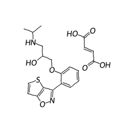 CC(C)NCC(O)COc1ccccc1-c1noc2ccsc12.O=C(O)C=CC(=O)O